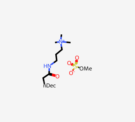 CCCCCCCCCCCC(=O)NCCC[N+](C)(C)C.COS(=O)(=O)[O-]